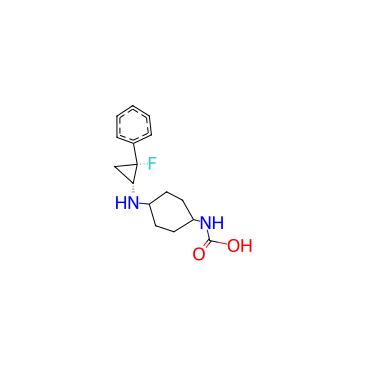 O=C(O)NC1CCC(N[C@@H]2C[C@@]2(F)c2ccccc2)CC1